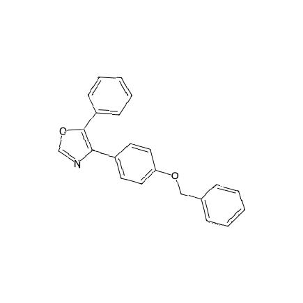 c1ccc(COc2ccc(-c3ncoc3-c3ccccc3)cc2)cc1